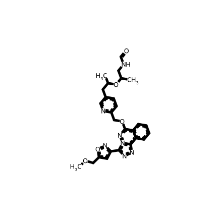 COCc1cc(-c2nnc3c4ccccc4c(OCc4ccc(CC(C)OC(C)CNC=O)cn4)nn23)no1